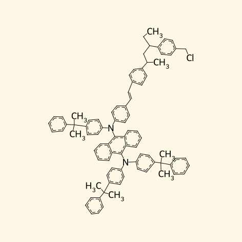 CCC(CC(C)c1ccc(/C=C/c2ccc(N(c3ccc(C(C)(C)c4ccccc4)cc3)c3c4ccccc4c(N(c4ccc(C(C)(C)c5ccccc5)cc4)c4ccc(C(C)(C)c5ccccc5)cc4)c4ccccc34)cc2)cc1)c1ccc(CCl)cc1